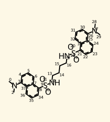 CN(C)c1cccc2c(S(=O)(=O)NCCCCNS(=O)(=O)c3cccc4c(N(C)C)cccc34)cccc12